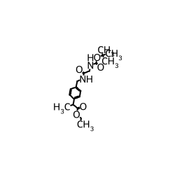 CCOC(=O)C(C)c1ccc(CNC(=O)CNC(=O)OC(C)(C)C)cc1